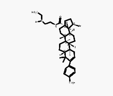 CC(C)[C@@H]1CC[C@]2(C(=O)NCCN(CC(=O)O)C(C)C)CC[C@]3(C)[C@H](CC[C@@H]4[C@@]5(C)CC=C(c6ccc(C(=O)O)cc6)C(C)(C)[C@@H]5CC[C@]43C)[C@@H]12